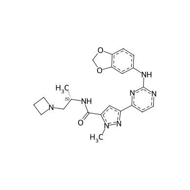 C[C@@H](CN1CCC1)NC(=O)c1cc(-c2ccnc(Nc3ccc4c(c3)OCO4)n2)nn1C